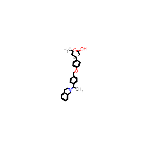 CC=C[C@H](CC(=O)O)c1ccc(OCc2ccc(C(C)N3CCc4ccccc4C3)cc2)cc1